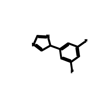 Fc1cc(F)cc(C2C=NC=N2)c1